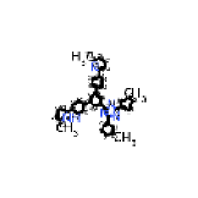 Cc1cccc(-c2nc(-c3cccc(C)c3)nc(C3C=C(c4ccc(-c5cccc(C)n5)cc4)C=C(c4ccc(C5=CC=CC(C)N5)cc4)C3)n2)c1